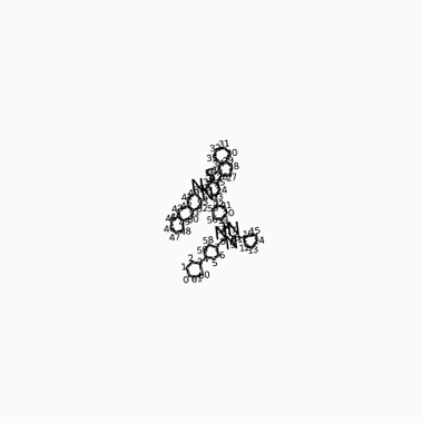 c1ccc(-c2ccc(-c3nc(-c4ccccc4)nc(-c4ccc(-c5cc6c7ccc8ccccc8c7sc6c6nc7cc8cc9ccccc9cc8cc7n56)cc4)n3)cc2)cc1